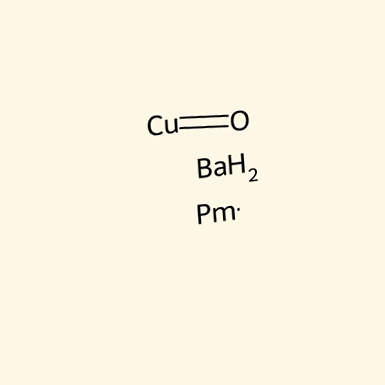 [BaH2].[O]=[Cu].[Pm]